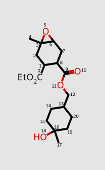 CCOC(=O)C1CC2(C)OC2CC1C(=O)OCC1CCC(C)(O)CC1